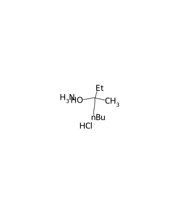 CCCCC(C)(O)CC.Cl.N